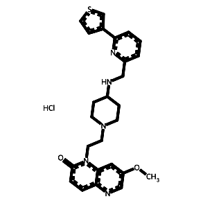 COc1cnc2ccc(=O)n(CCN3CCC(NCc4cccc(-c5ccsc5)n4)CC3)c2c1.Cl